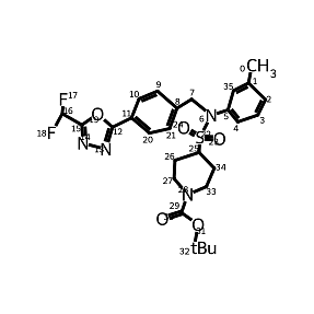 Cc1cccc(N(Cc2ccc(-c3nnc(C(F)F)o3)cc2)S(=O)(=O)C2CCN(C(=O)OC(C)(C)C)CC2)c1